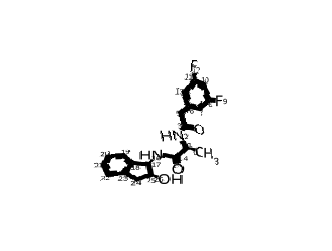 C[C@H](NC(=O)Cc1cc(F)cc(F)c1)C(=O)N[C@@H]1c2ccccc2C[C@@H]1O